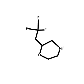 FC(F)(F)CC1CNCCO1